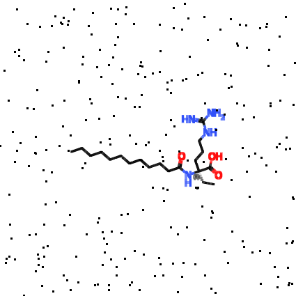 CCCCCCCCCCCC(=O)N[C@@](CC)(CCCNC(=N)N)C(=O)O